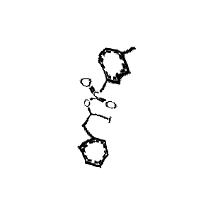 Cc1ccc(S(=O)(=O)OC(I)Cc2ccccc2)cc1